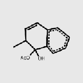 CC(=O)OC1(O)c2ccccc2C=CC1C